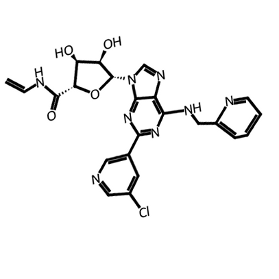 C=CNC(=O)[C@H]1O[C@@H](n2cnc3c(NCc4ccccn4)nc(-c4cncc(Cl)c4)nc32)[C@H](O)[C@@H]1O